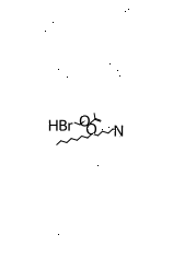 Br.C=C(C)C(=O)OCC.CCCCCCCCCCCCN(C)C